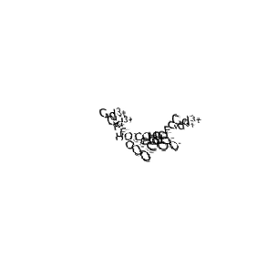 O=C([O-])[O-].O=C([O-])[O-].O=C([O-])[O-].[F-].[F-].[F-].[Gd+3].[Gd+3].[Gd+3].[Gd+3].[OH-].[OH-].[OH-]